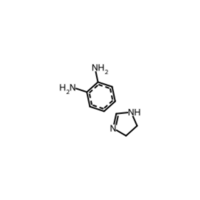 C1=NCCN1.Nc1ccccc1N